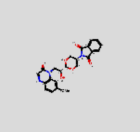 COc1ccc2ncc(=O)n(CC(O)[C@H]3OC[C@H](N4C(=O)c5ccccc5C4=O)CO3)c2c1